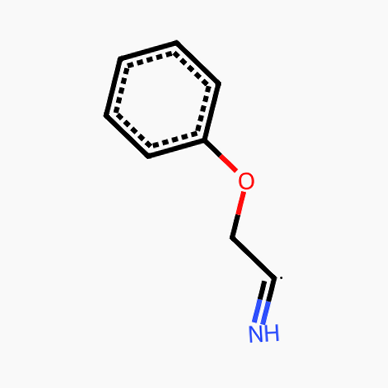 N=[C]COc1ccccc1